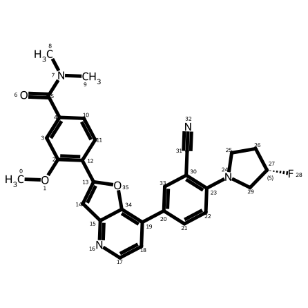 COc1cc(C(=O)N(C)C)ccc1-c1cc2nccc(-c3ccc(N4CC[C@H](F)C4)c(C#N)c3)c2o1